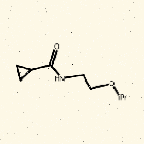 CC(C)OCCNC(=O)C1CC1